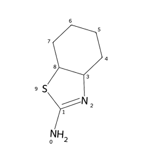 NC1=NC2CCCCC2S1